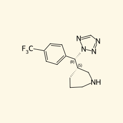 FC(F)(F)c1ccc([C@@H]([C@H]2CCCNC2)n2ncnn2)cc1